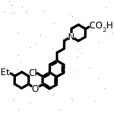 CCC1CCC(Oc2ccc3ccc(CCCN4CCC(C(=O)O)CC4)cc3c2Cl)CC1